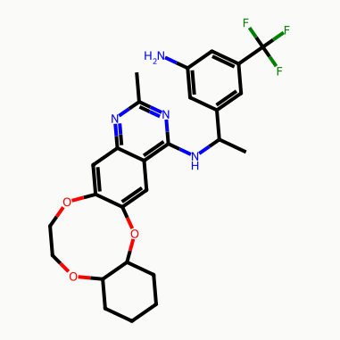 Cc1nc(NC(C)c2cc(N)cc(C(F)(F)F)c2)c2cc3c(cc2n1)OCCOC1CCCCC1O3